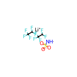 FC(F)C(F)(F)F.FC(F)C(F)(F)F.[Li+].[NH]S(=O)(=O)[O-]